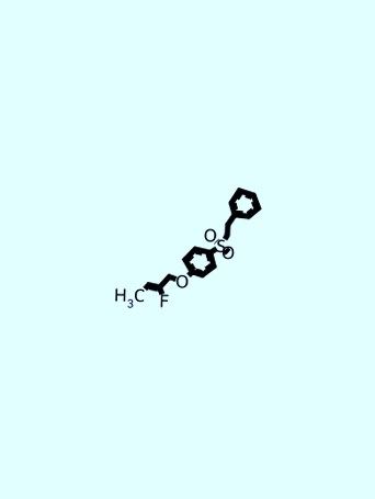 CC=C(F)COc1ccc(S(=O)(=O)CCc2ccccc2)cc1